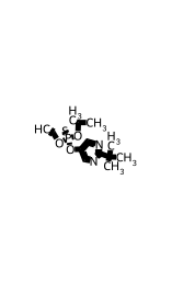 C#COP(=S)(Oc1cnc(C(C)(C)C)nc1)OC(C)C